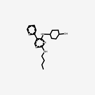 CCCCNc1ncc(-c2ccccn2)c(NC2CCC(O)CC2)n1